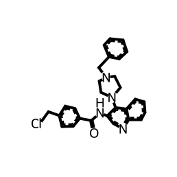 O=C(Nc1cnc2ccccc2c1N1CCN(Cc2ccccc2)CC1)c1ccc(CCl)cc1